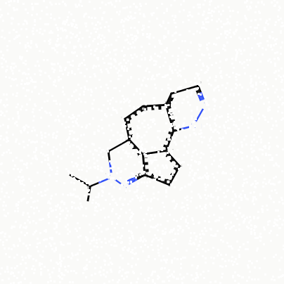 CC(C)N1Cc2ccc3c(c4ccc(c2-4)=N1)NN=CC=3